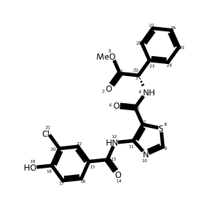 COC(=O)[C@@H](NC(=O)c1scnc1NC(=O)c1ccc(O)c(Cl)c1)c1ccccc1